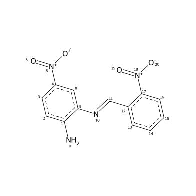 Nc1ccc([N+](=O)[O-])cc1N=Cc1ccccc1[N+](=O)[O-]